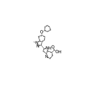 Cn1nc(-c2cc3nccc(C(=O)O)c3[nH]2)c2ccc(Oc3ccccc3)cc21